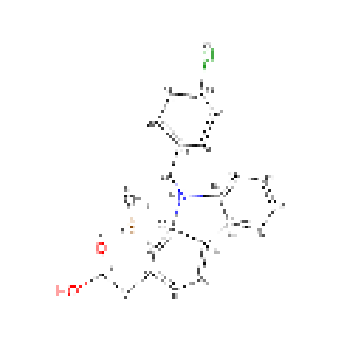 CSc1c(CC(=O)O)ccc2c3ccccc3n(Cc3ccc(Cl)cc3)c12